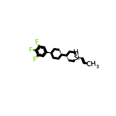 CC=C[Si@H]1CC[C@H]([C@H]2CC[C@H](c3cc(F)c(F)c(F)c3)CC2)CC1